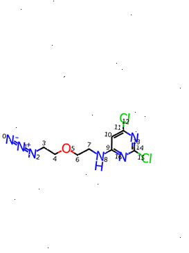 [N-]=[N+]=NCCOCCNc1cc(Cl)nc(Cl)n1